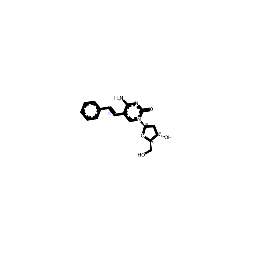 Nc1nc(=O)n([C@H]2C[C@H](O)[C@@H](CO)O2)cc1/C=C/c1ccccc1